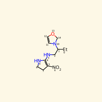 CCC(CNC1=C([N+](=O)[O-])CCN1)N1C=COC1